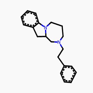 c1ccc(CCN2CCCN3c4ccccc4CC3C2)cc1